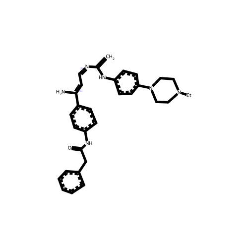 C=C(/N=C\C=C(/N)c1ccc(NC(=O)Cc2ccccc2)cc1)Nc1ccc(N2CCN(CC)CC2)cc1